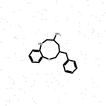 NC1CNc2ccccc2SCC(Cc2ccccc2)C1